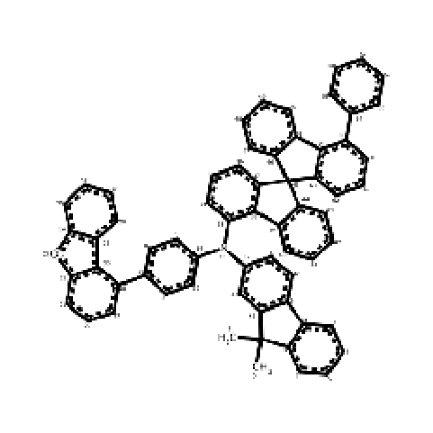 CC1(C)c2ccccc2-c2ccc(N(c3ccc(-c4cccc5oc6ccccc6c45)cc3)c3cccc4c3-c3ccccc3C43c4ccccc4-c4c(-c5ccccc5)cccc43)cc21